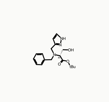 CC(C)(C)OC(=O)[C@@H](CO)N(Cc1ccccc1)Cc1cc[nH]n1